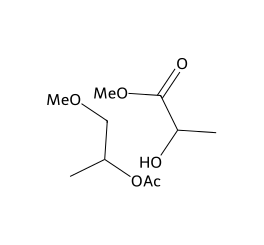 COC(=O)C(C)O.COCC(C)OC(C)=O